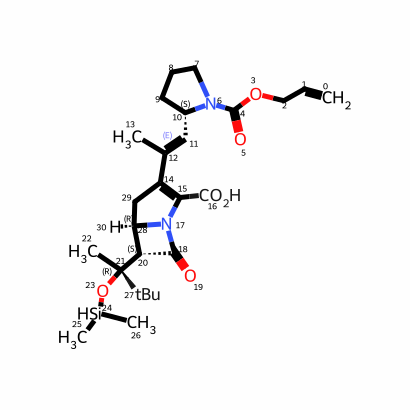 C=CCOC(=O)N1CCC[C@H]1/C=C(\C)C1=C(C(=O)O)N2C(=O)[C@H]([C@@](C)(O[SiH](C)C)C(C)(C)C)[C@H]2C1